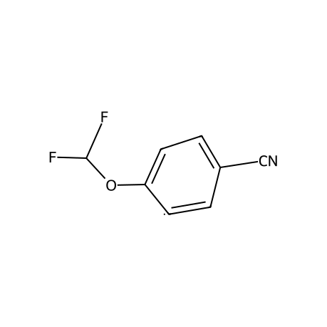 N#Cc1c[c]c(OC(F)F)cc1